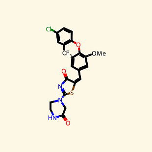 COc1cc(/C=C2/SC(N3CCNC(=O)C3)=NC2=O)ccc1Oc1ccc(Cl)cc1C(F)(F)F